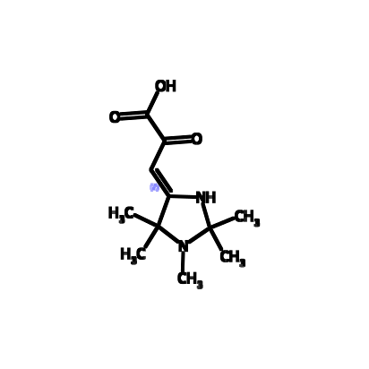 CN1C(C)(C)N/C(=C\C(=O)C(=O)O)C1(C)C